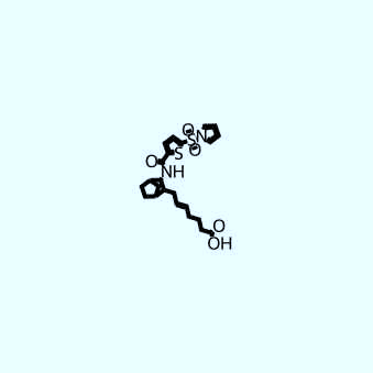 O=C(O)CCC/C=C/CC1C2CCC(C2)C1NC(=O)c1ccc(S(=O)(=O)n2cccc2)s1